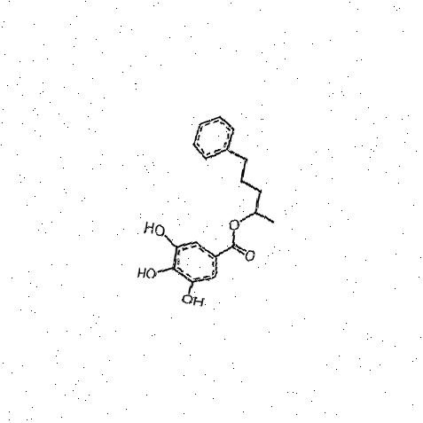 CC(CCCc1ccccc1)OC(=O)c1cc(O)c(O)c(O)c1